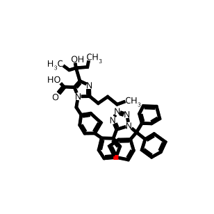 CCCCc1nc(C(O)(CC)CC)c(C(=O)O)n1Cc1ccc(-c2ccccc2-c2nnnn2C(c2ccccc2)(c2ccccc2)c2ccccc2)cc1